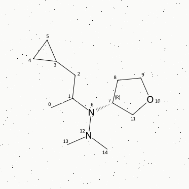 CC(CC1CC1)N([C@@H]1CCOC1)N(C)C